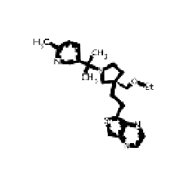 CCOC[C@]1(CCc2scc3nccnc23)CCN(C(C)(C)c2ccc(C)nc2)C1